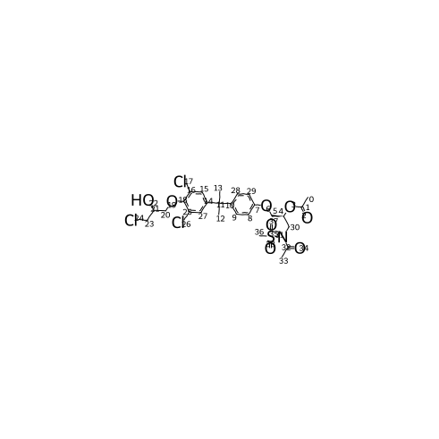 CC(=O)O[C@H](COc1ccc(C(C)(C)c2cc(Cl)c(OC[C@H](O)CCl)c(Cl)c2)cc1)CN(C(C)=O)S(C)(=O)=O